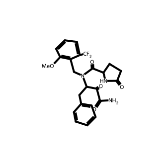 COc1cccc(C(F)(F)F)c1CN(C(=O)C1CCC(=O)N1)C(Cc1ccccc1)C(=O)C(N)=O